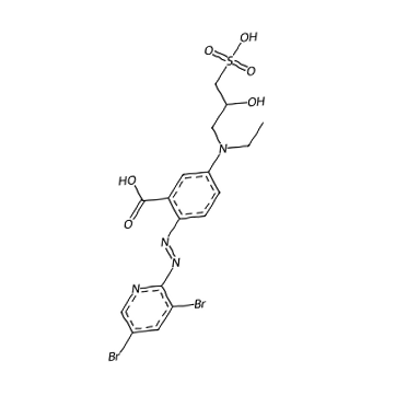 CCN(CC(O)CS(=O)(=O)O)c1ccc(N=Nc2ncc(Br)cc2Br)c(C(=O)O)c1